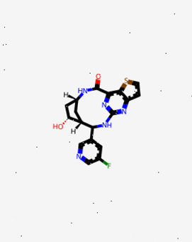 O=C1N[C@H]2C[C@@H](O)[C@H](C2)C(c2cncc(F)c2)Nc2nc1c1sccc1n2